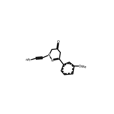 CCCC#CN1CC(=O)CC(c2cccc(OC)c2)=N1